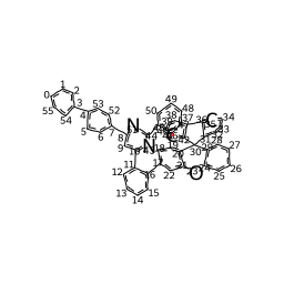 c1ccc(-c2ccc(-c3cc(-c4ccccc4-c4ccc5c(c4)Oc4ccccc4C54c5ccccc5-c5ccccc54)nc(-c4ccccc4)n3)cc2)cc1